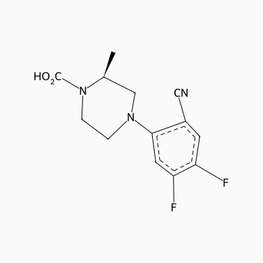 C[C@H]1CN(c2cc(F)c(F)cc2C#N)CCN1C(=O)O